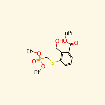 CCCOC(=O)c1cccc(SCP(=O)(OCC)OCC)c1CO